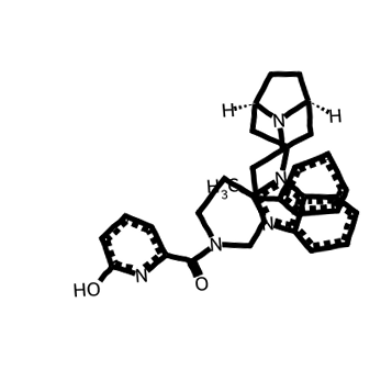 Cc1nc2ccccc2n1C1C[C@H]2CC[C@@H](C1)N2CCC1(c2ccccc2)CCN(C(=O)c2cccc(O)n2)CC1